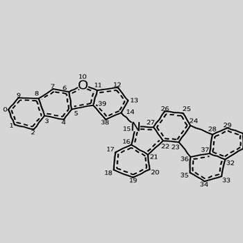 c1ccc2cc3c(cc2c1)oc1ccc(-n2c4ccccc4c4c5c(ccc42)-c2cccc4cccc-5c24)cc13